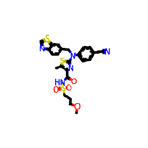 COCCCS(=O)(=O)NC(=O)c1nc(N(Cc2ccc3ncsc3c2)c2ccc(C#N)cc2)sc1C